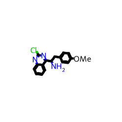 COc1ccc(CC(N)c2nc(Cl)nc3ccccc23)cc1